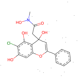 CN(O)C(=O)CC1(O)C=C(c2ccccc2)Oc2cc(O)c(Cl)c(O)c21